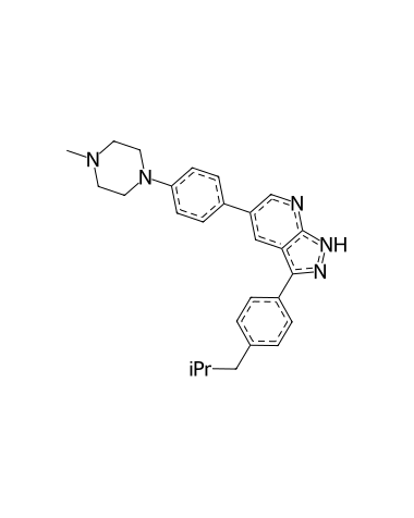 CC(C)Cc1ccc(-c2n[nH]c3ncc(-c4ccc(N5CCN(C)CC5)cc4)cc23)cc1